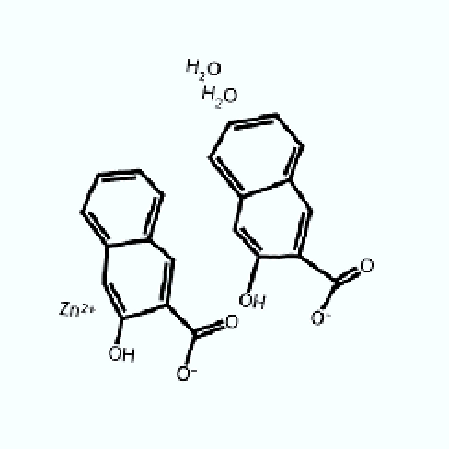 O.O.O=C([O-])c1cc2ccccc2cc1O.O=C([O-])c1cc2ccccc2cc1O.[Zn+2]